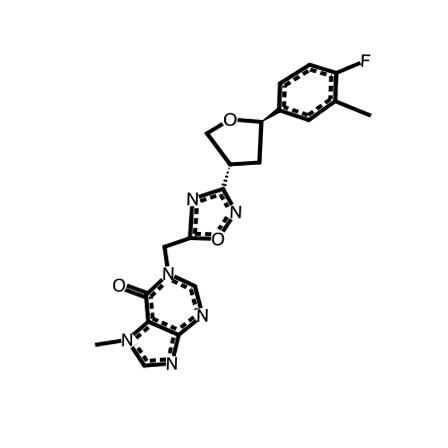 Cc1cc([C@H]2C[C@H](c3noc(Cn4cnc5ncn(C)c5c4=O)n3)CO2)ccc1F